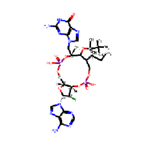 CC[C@@H](C)C1COP(=O)(O)O[C@H]2[C@@H](F)[C@H](n3cnc4c(N)ncnc43)O[C@@H]2COP(=O)(O)O[C@](C)(Cn2cnc3c(=O)[nH]c(N)nc32)C1O[Si](C)(C)C(C)(C)C